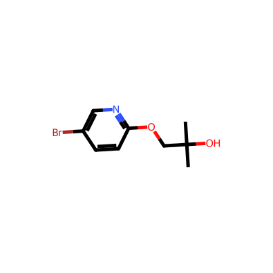 CC(C)(O)COc1ccc(Br)cn1